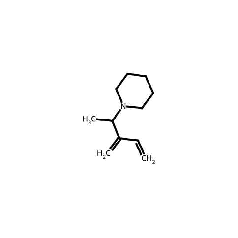 C=CC(=C)C(C)N1CCCCC1